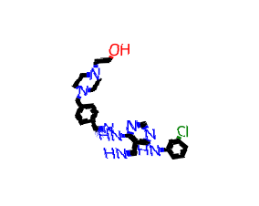 N=Cc1c(N/N=C/c2ccc(CN3CCN(CCO)CC3)cc2)ncnc1Nc1cccc(Cl)c1